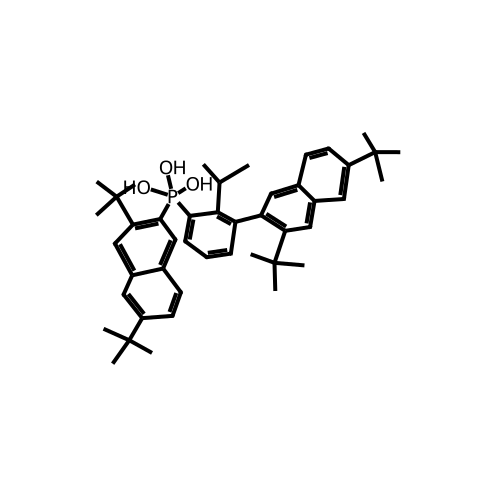 CC(C)c1c(-c2cc3ccc(C(C)(C)C)cc3cc2C(C)(C)C)cccc1P(O)(O)(O)c1cc2ccc(C(C)(C)C)cc2cc1C(C)(C)C